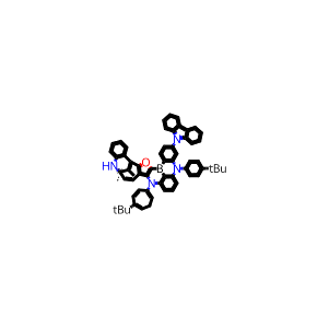 CC1=C2c3ccccc3N[C@]1(C)C=Cc1c2oc2c1N(C1=CCC=C(C(C)(C)C)C=C1)c1cccc3c1B2c1ccc(-n2c4ccccc4c4ccccc42)cc1N3c1ccc(C(C)(C)C)cc1